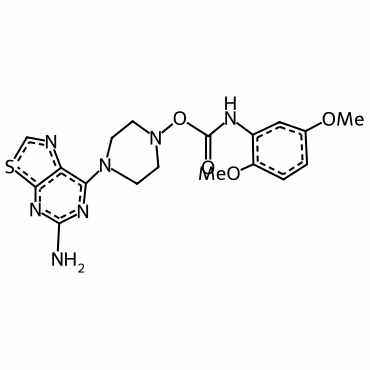 COc1ccc(OC)c(NC(=O)ON2CCN(c3nc(N)nc4scnc34)CC2)c1